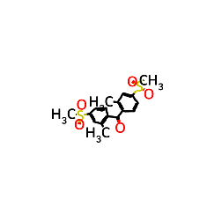 Cc1cc(S(C)(=O)=O)ccc1C(=O)c1ccc(S(C)(=O)=O)cc1C